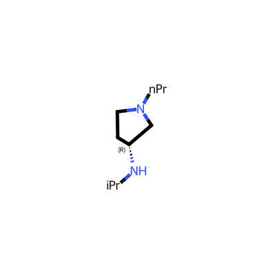 CCCN1CC[C@@H](NC(C)C)C1